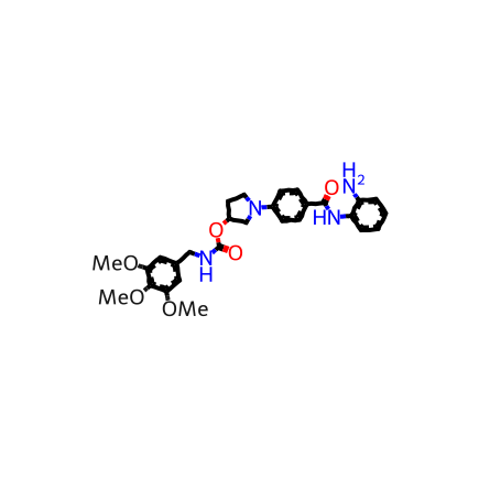 COc1cc(CNC(=O)OC2CCN(c3ccc(C(=O)Nc4ccccc4N)cc3)C2)cc(OC)c1OC